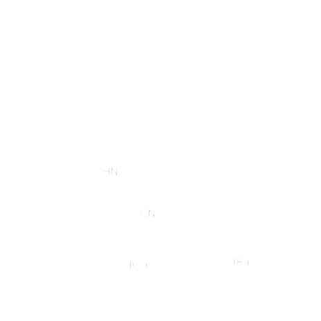 CC(C)(C)/C=C/[C@@H](NC(=O)c1cc2cc(Cl)ccc2[nH]1)C(=O)O